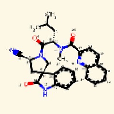 CC(C)C[C@@H](C(=O)N1C[C@]2(C[C@H]1C#N)C(=O)Nc1ccccc12)N(C)C(=O)c1ccc2ccccc2n1